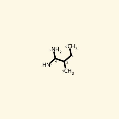 CCC(C)C([NH])N